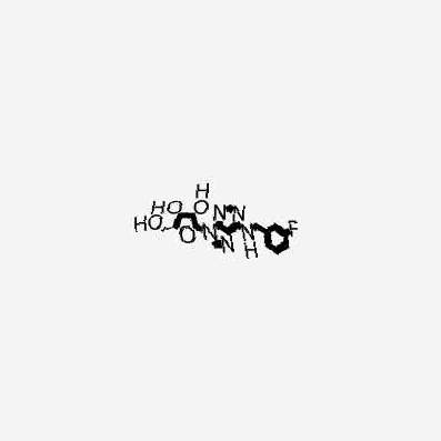 OC[C@H]1OC(n2cnc3c(NCc4cccc(F)c4)ncnc32)[C@H](O)[C@@H]1O